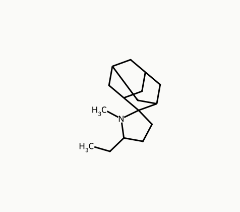 CCC1CCC2(C3CC4CC(C3)CC2C4)N1C